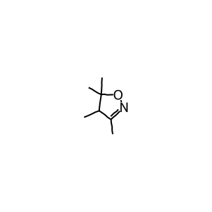 CC1=NOC(C)(C)C1C